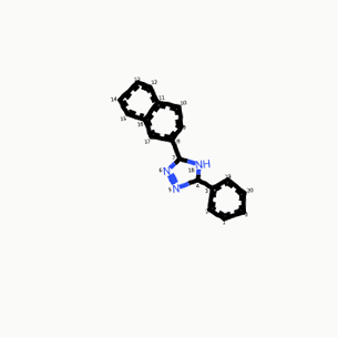 c1ccc(C2N=NC(c3ccc4ccccc4c3)N2)cc1